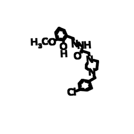 COc1cccc(/C=N/NC(=O)CN2CCN(Cc3ccc(Cl)cc3)CC2)c1O